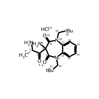 C[C@H](N)C(=O)C1(N)C(=O)N(CC(C)(C)C)c2ccccc2N(CC(C)(C)C)C1=O.Cl